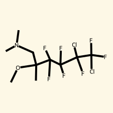 COC(C)(CN(C)C)C(F)(F)C(F)(F)C(F)(Cl)C(F)(F)Cl